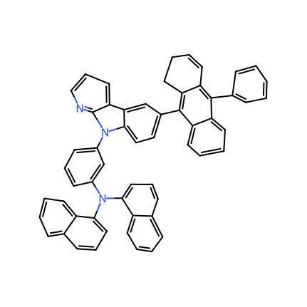 C1=Cc2c(c(-c3ccc4c(c3)c3cccnc3n4-c3cccc(N(c4cccc5ccccc45)c4cccc5ccccc45)c3)c3ccccc3c2-c2ccccc2)CC1